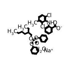 CCCCC(CC)COP(=O)(Oc1ccccc1)Oc1ccccc1.Cc1ccc(Cl)c(Nc2ccccc2C(=O)[O-])c1Cl.O.[Na+]